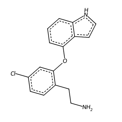 NCCc1ccc(Cl)cc1Oc1cccc2[nH]ccc12